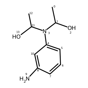 CC(O)N(c1cccc(N)c1)C(C)O